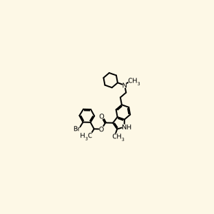 Cc1[nH]c2ccc(CCN(C)C3CCCCC3)cc2c1C(=O)OC(C)c1ccccc1Br